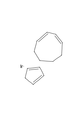 C1=CCC=C1.C1=CCCCCC=C1.[Ir]